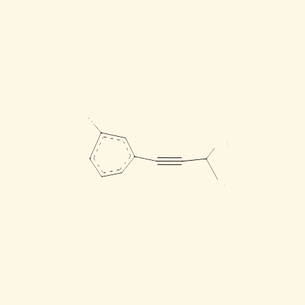 CCC(O)C#Cc1cccc([N+](=O)[O-])c1